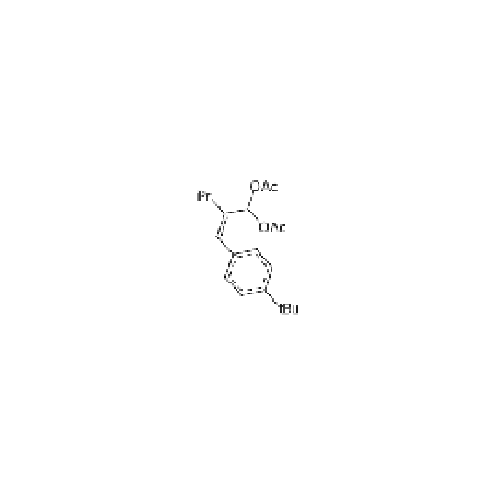 CC(=O)OC(OC(C)=O)C(=Cc1ccc(C(C)(C)C)cc1)C(C)C